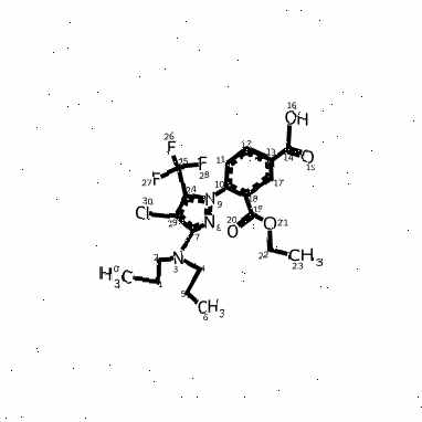 CCCN(CCC)c1nn(-c2ccc(C(=O)O)cc2C(=O)OCC)c(C(F)(F)F)c1Cl